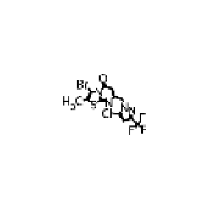 Cc1sc2nc(Cn3nc(C(F)(F)F)cc3Cl)cc(=O)n2c1Br